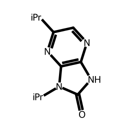 CC(C)c1cnc2[nH]c(=O)n(C(C)C)c2n1